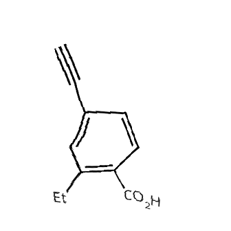 C#Cc1ccc(C(=O)O)c(CC)c1